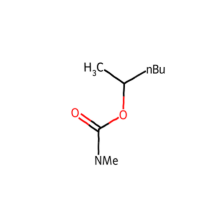 [CH2]CCCC(C)OC(=O)NC